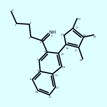 CCCCC(=N)c1cc2ccccc2cc1C1=C(C)C(C)=C(C)C1